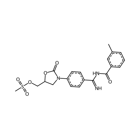 Cc1cccc(C(=O)NC(=N)c2ccc(N3CC(COS(C)(=O)=O)OC3=O)cc2)c1